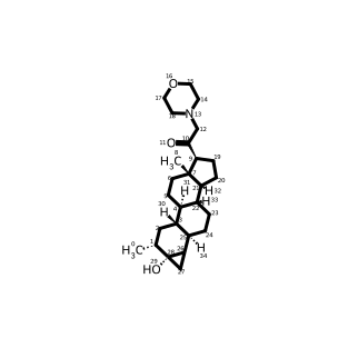 C[C@@H]1C[C@@H]2[C@H]3CC[C@]4(C)[C@@H](C(=O)CN5CCOCC5)CC[C@H]4[C@@H]3CC[C@H]2C2C[C@]21O